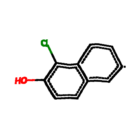 Oc1ccc2c[c]ccc2c1Cl